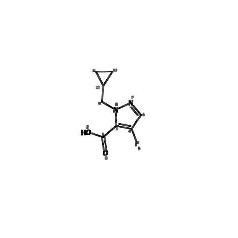 O=C(O)c1c(F)cnn1CC1CC1